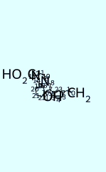 C=Cc1cccc(C(CN2CCN(C(=O)O)CC2)C2(O)CCCCC2)c1